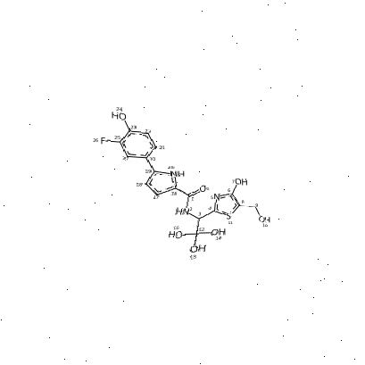 O=C(NC(c1nc(O)c(CO)s1)C(O)(O)O)c1ccc(-c2ccc(O)c(F)c2)[nH]1